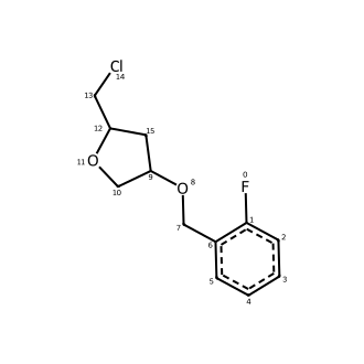 Fc1ccccc1COC1COC(CCl)C1